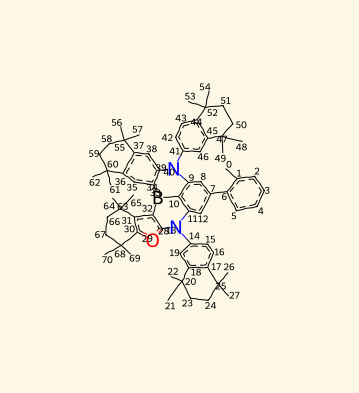 Cc1ccccc1-c1cc2c3c(c1)N(c1ccc4c(c1)C(C)(C)CCC4(C)C)c1oc4c(c1B3c1cc3c(cc1N2c1ccc2c(c1)C(C)(C)CCC2(C)C)C(C)(C)CCC3(C)C)C(C)(C)CCC4(C)C